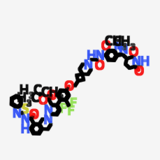 COc1c(NC(=O)CN2CCC3(CC2)CC(COc2ccc(-c4ccc(N5CCc6cccc(C(=O)Nc7nc8ccccc8s7)c6C5)nc4C(=O)OC(C)(C)C)c(C(F)(F)F)c2)C3)ccc2c(C3CCC(=O)NC3=O)nn(C)c12